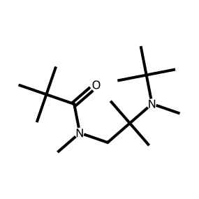 CN(CC(C)(C)N(C)C(C)(C)C)C(=O)C(C)(C)C